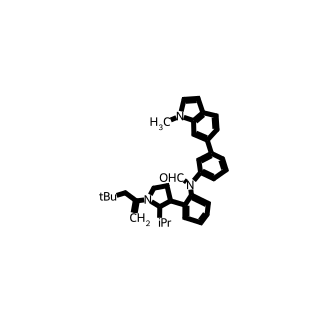 C=C(CC(C)(C)C)N1CCC(c2ccccc2N(C=O)c2cccc(-c3ccc4ccn(C)c4c3)c2)C1C(C)C